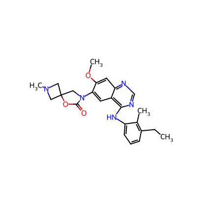 CCc1cccc(Nc2ncnc3cc(OC)c(N4CC5(CN(C)C5)OC4=O)cc23)c1C